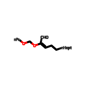 CCCCCCCCC/C=C(\C=O)OCOCCC